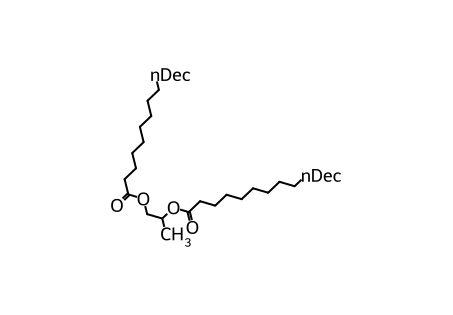 CCCCCCCCCCCCCCCCCCC(=O)OCC(C)OC(=O)CCCCCCCCCCCCCCCCCC